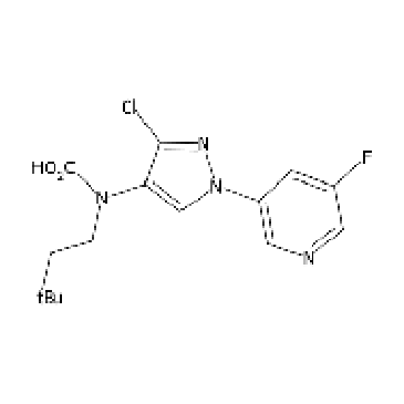 CC(C)(C)CCN(C(=O)O)c1cn(-c2cncc(F)c2)nc1Cl